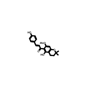 COc1cc2c(c(O)c1C(=O)C=Cc1ccc(O)cc1)CCC(C)(C)O2